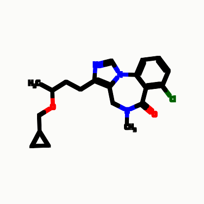 CC(CCc1ncn2c1CN(C)C(=O)c1c(Cl)cccc1-2)OCC1CC1